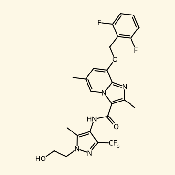 Cc1cc(OCc2c(F)cccc2F)c2nc(C)c(C(=O)Nc3c(C(F)(F)F)nn(CCO)c3C)n2c1